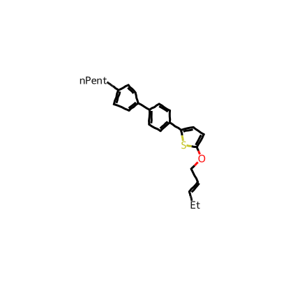 CC/C=C/COc1ccc(-c2ccc(-c3ccc(CCCCC)cc3)cc2)s1